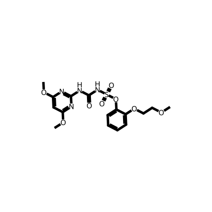 COCCOc1ccccc1OS(=O)(=O)NC(=O)Nc1nc(OC)cc(OC)n1